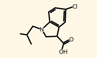 CC(C)CN1CC(C(=O)O)c2cc(Cl)ccc21